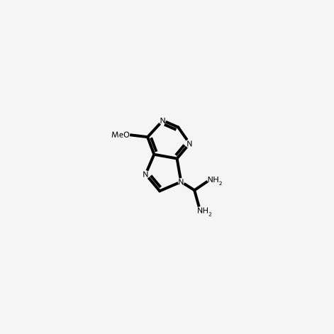 COc1ncnc2c1ncn2C(N)N